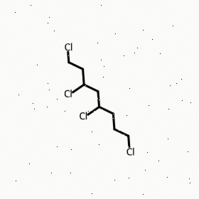 ClCCCC(Cl)CC(Cl)CCCl